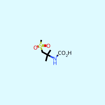 CC(C)(CS(C)(=O)=O)NC(=O)O